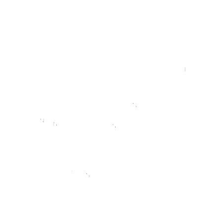 C[C@H]1c2c(noc2-c2ccn(C)n2)CCN1C(=O)Nc1cc(F)c(F)c(F)c1